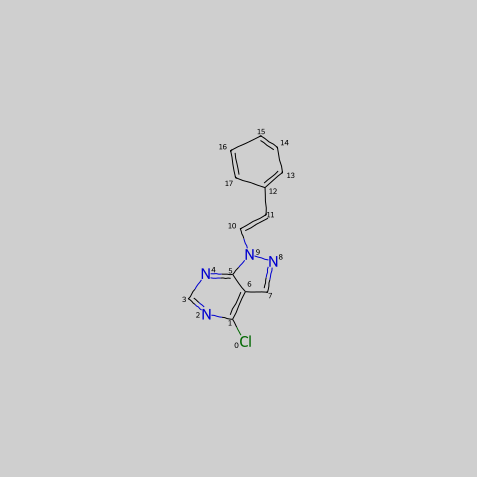 Clc1ncnc2c1cnn2C=Cc1ccccc1